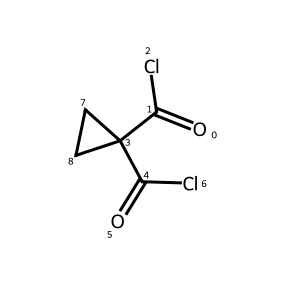 O=C(Cl)C1(C(=O)Cl)CC1